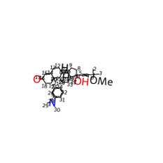 COC(C)(C)C#C[C@]1(O)CC[C@H]2[C@@H]3CCC4=CC(=O)CC[C@]4(C)C3[C@@H](c3ccc(N(C)C)cc3)C[C@@]21C